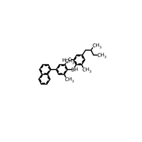 CCC(C)Cc1cc(C)c(Bc2c(C)cc(-c3cccc4ccccc34)cc2C)c(C)c1